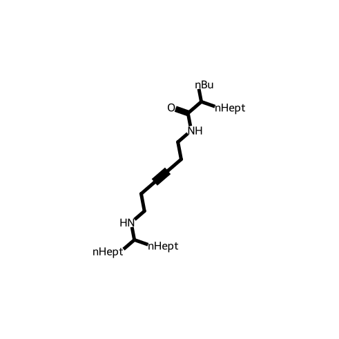 CCCCCCCC(CCCCCCC)NCCC#CCCNC(=O)C(CCCC)CCCCCCC